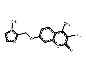 Cc1c(C)c2ccc(OCc3nccn3C)cc2oc1=O